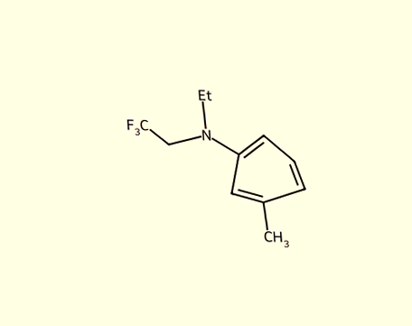 CCN(CC(F)(F)F)c1cccc(C)c1